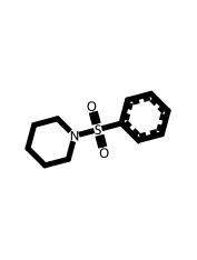 O=S(=O)(c1[c]cccc1)N1CCCCC1